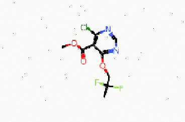 COC(=O)c1c(Cl)ncnc1OCC(C)(F)F